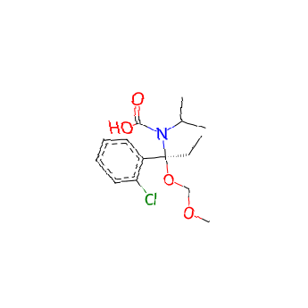 CC[C@](OCOC)(c1ccccc1Cl)N(C(=O)O)C(C)C